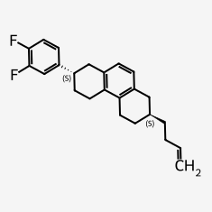 C=CCC[C@H]1CCc2c(ccc3c2CC[C@H](c2ccc(F)c(F)c2)C3)C1